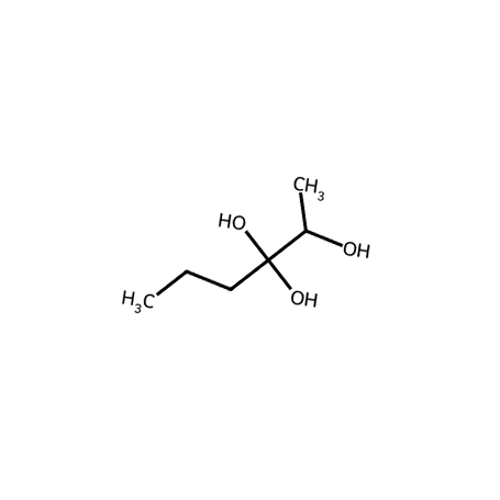 CCCC(O)(O)C(C)O